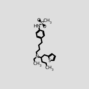 CCCC(Cc1cccs1)N(CC)CCCCc1ccc(NS(C)(=O)=O)cc1